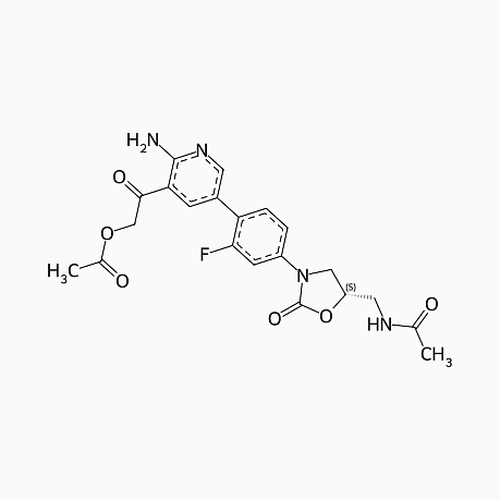 CC(=O)NC[C@H]1CN(c2ccc(-c3cnc(N)c(C(=O)COC(C)=O)c3)c(F)c2)C(=O)O1